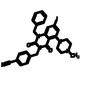 CN1CCN(c2cc(I)cc3c2c(=O)n(Cc2ccc(C#N)cc2)c(=O)n3Cc2ccccc2)CC1